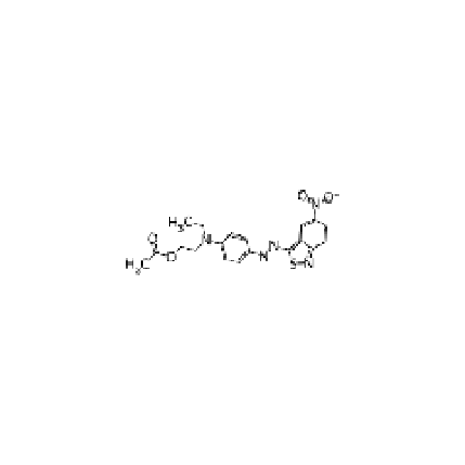 CCN(CCOC(C)=O)c1ccc(/N=N/c2snc3ccc([N+](=O)[O-])cc23)cc1